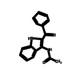 CC(=O)Nc1c(C(=O)c2ccccc2)[nH]c2ccccc12